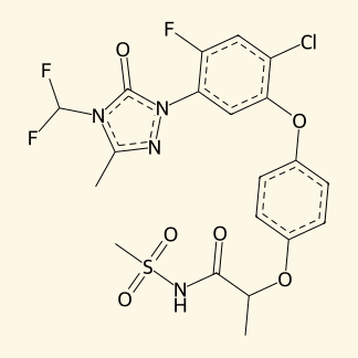 Cc1nn(-c2cc(Oc3ccc(OC(C)C(=O)NS(C)(=O)=O)cc3)c(Cl)cc2F)c(=O)n1C(F)F